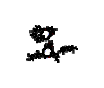 CC[C@H](C)[C@H]1O[C@]2(CC[C@@H]1C)C[C@@H]1C[C@@H](C/C=C(\C)[C@@H](O[C@H]3C[C@H](OC)[C@@H](O[C@H]4C[C@H](OC)[C@@H](O)[C@H](C)O4)[C@H](C)O3)[C@@H](C)/C=C/C=C3\CO[C@@H]4[C@H](O)C(C)=C[C@@H](C(=O)O1)[C@]34O)O2.CO[C@H]1C[C@H](O[C@H]2[C@H](C)O[C@@H](O[C@@H]3/C(C)=C/C[C@@H]4C[C@@H](C[C@]5(CC[C@H](C)[C@@H](C(C)C)O5)O4)OC(=O)[C@@H]4C=C(C)[C@@H](O)[C@H]5OC/C(=C\C=C\[C@@H]3C)[C@]54O)C[C@@H]2OC)O[C@@H](C)[C@@H]1O.CSc1nc2cc(Cl)c(Oc3cccc(Cl)c3Cl)cc2[nH]1